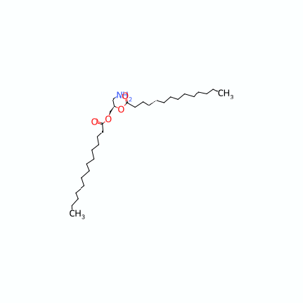 CCCCCCCCCCCCCC(=O)OC[C@@H](CN)OC(=O)CCCCCCCCCCCCC